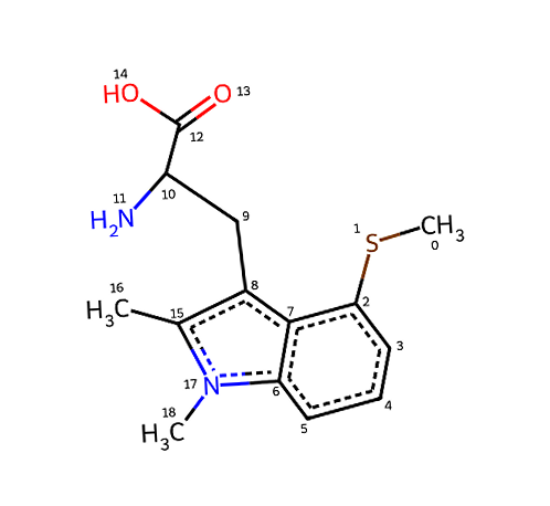 CSc1cccc2c1c(CC(N)C(=O)O)c(C)n2C